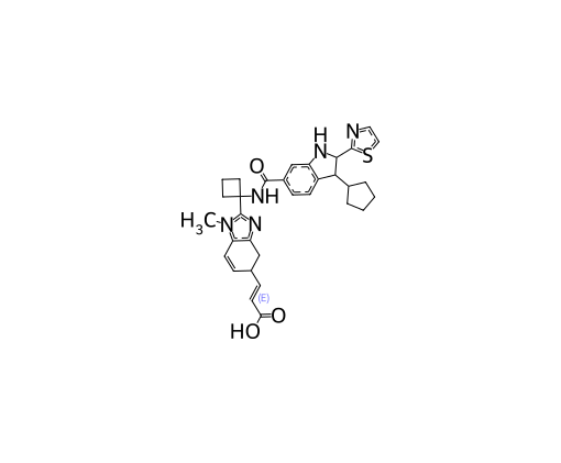 Cn1c(C2(NC(=O)c3ccc4c(c3)NC(c3nccs3)C4C3CCCC3)CCC2)nc2c1C=CC(/C=C/C(=O)O)C2